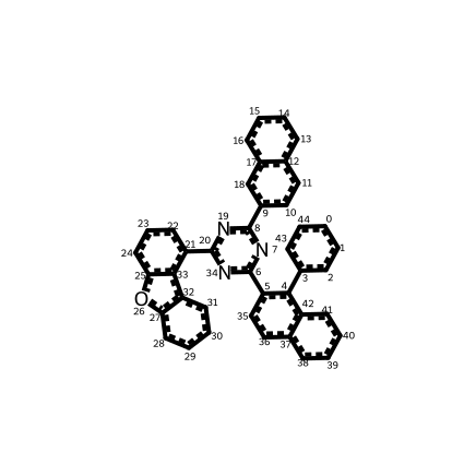 c1ccc(-c2c(-c3nc(-c4ccc5ccccc5c4)nc(-c4cccc5oc6ccccc6c45)n3)ccc3ccccc23)cc1